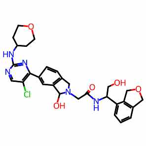 O=C(CN1Cc2ccc(-c3nc(NC4CCOCC4)ncc3Cl)cc2C1O)NC(CO)c1cccc2c1COC2